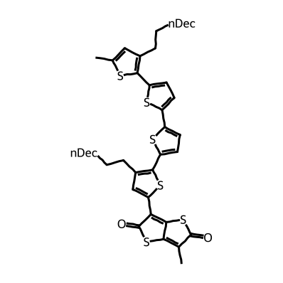 CCCCCCCCCCCCc1cc(C)sc1-c1ccc(-c2ccc(-c3sc(C4=C5SC(=O)C(C)=C5SC4=O)cc3CCCCCCCCCCCC)s2)s1